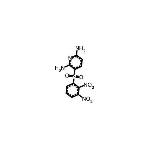 Nc1ccc(S(=O)(=O)c2cccc([N+](=O)[O-])c2[N+](=O)[O-])c(N)n1